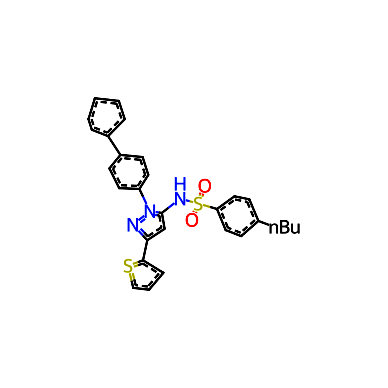 CCCCc1ccc(S(=O)(=O)Nc2cc(-c3cccs3)nn2-c2ccc(-c3ccccc3)cc2)cc1